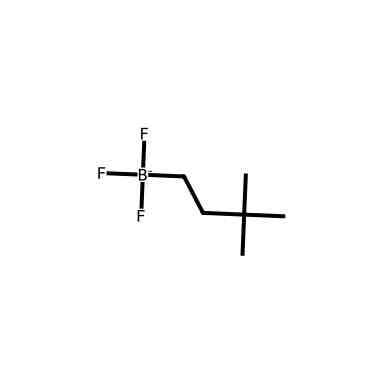 CC(C)(C)CC[B-](F)(F)F